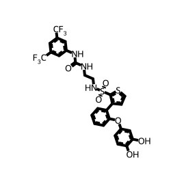 O=C(NCCNS(=O)(=O)c1sccc1-c1ccccc1Oc1ccc(O)c(O)c1)Nc1cc(C(F)(F)F)cc(C(F)(F)F)c1